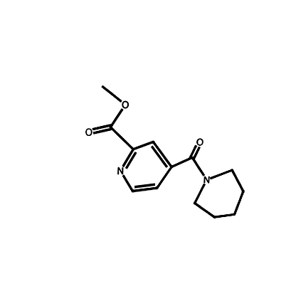 COC(=O)c1cc(C(=O)N2CCCCC2)ccn1